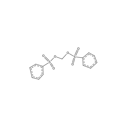 O=S(=O)(OCOS(=O)(=O)c1ccccc1)c1ccccc1